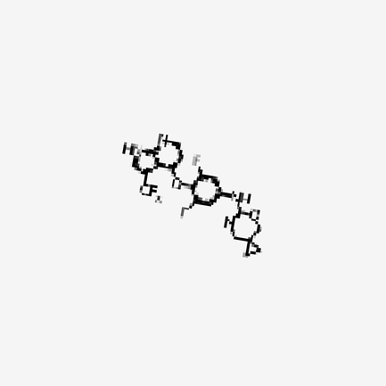 Fc1cc(NC2=NCC3(CC3)CO2)cc(F)c1Oc1ccnc2[nH]cc(C(F)(F)F)c12